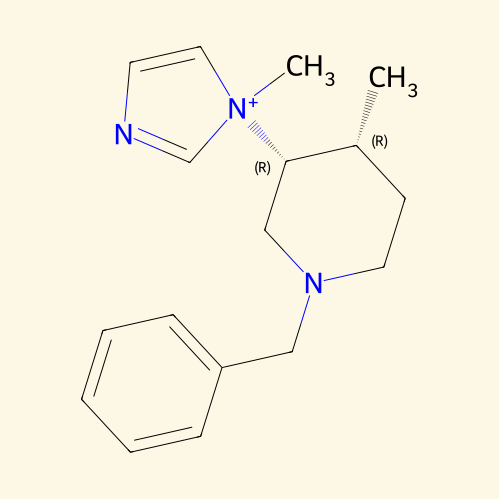 C[C@@H]1CCN(Cc2ccccc2)C[C@@H]1[N+]1(C)C=CN=C1